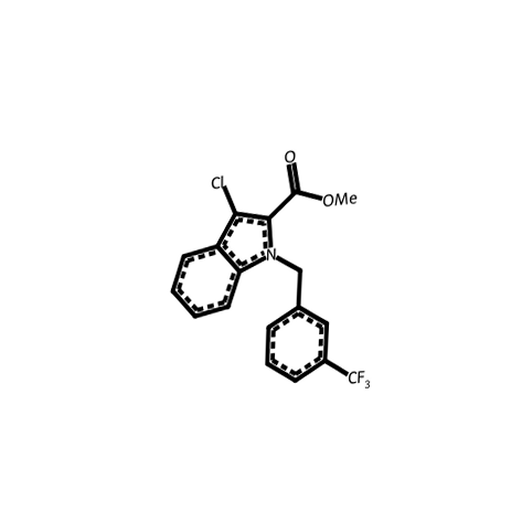 COC(=O)c1c(Cl)c2ccccc2n1Cc1cccc(C(F)(F)F)c1